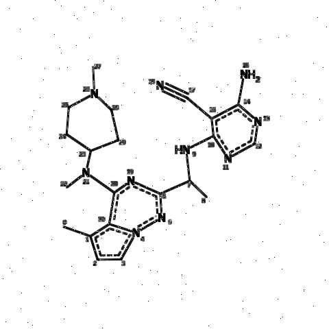 Cc1ccn2nc(C(C)Nc3ncnc(N)c3C#N)nc(N(C)C3CCN(C)CC3)c12